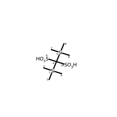 C[Si](C)(C)C([Si](C)(C)C)(S(=O)(=O)O)S(=O)(=O)O